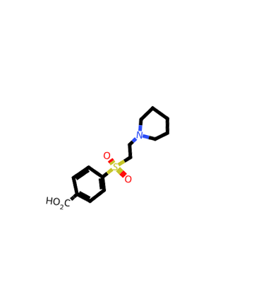 O=C(O)c1ccc(S(=O)(=O)CCN2CCCCC2)cc1